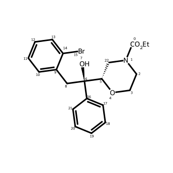 CCOC(=O)N1CCO[C@H]([C@@](O)(Cc2ccccc2Br)c2ccccc2)C1